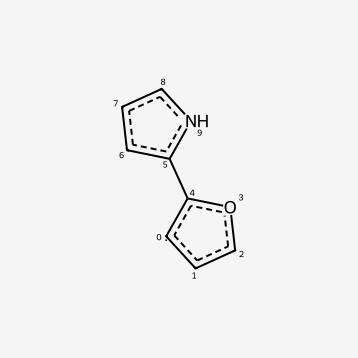 [c]1ccoc1-c1ccc[nH]1